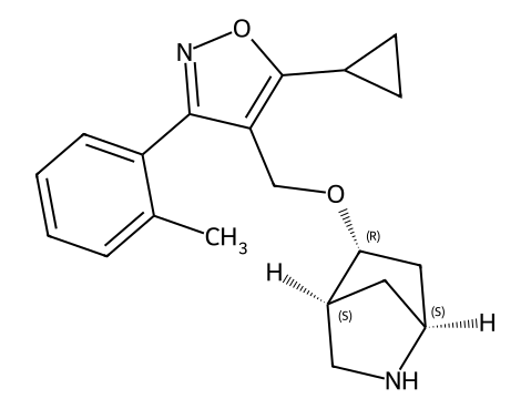 Cc1ccccc1-c1noc(C2CC2)c1CO[C@@H]1C[C@@H]2C[C@H]1CN2